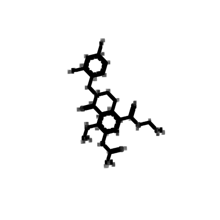 CCOC(=O)c1nc(OC(C)=O)c(OC)c2c1CCN(Cc1ccc(F)cc1F)C2=O